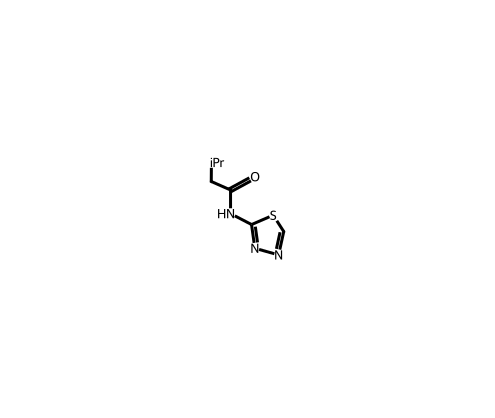 CC(C)CC(=O)Nc1nncs1